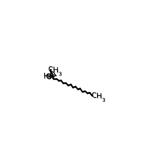 CCCCCCCCCCCCCCCCCC[NH+]([O-])OCC